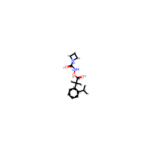 CC(C)c1ccccc1C(C)(C)C(=O)ONC(=O)N1CCC1